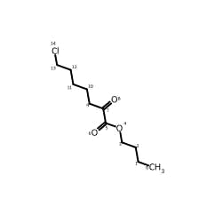 CCCCOC(=O)C(=O)CCCCCCl